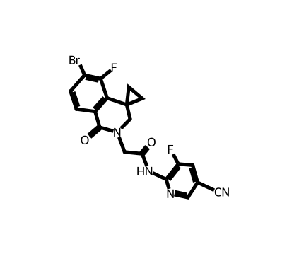 N#Cc1cnc(NC(=O)CN2CC3(CC3)c3c(ccc(Br)c3F)C2=O)c(F)c1